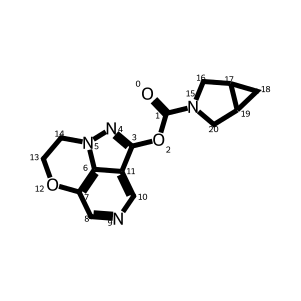 O=C(Oc1nn2c3c(cncc13)OCC2)N1CC2CC2C1